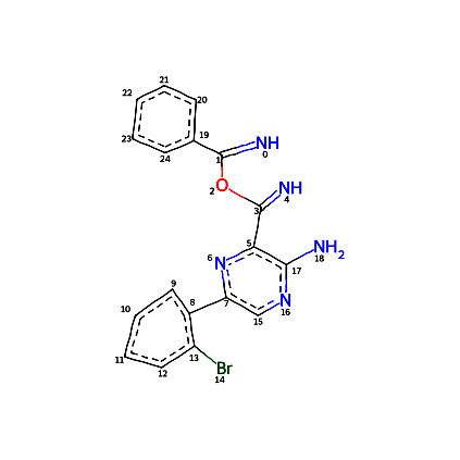 N=C(OC(=N)c1nc(-c2ccccc2Br)cnc1N)c1ccccc1